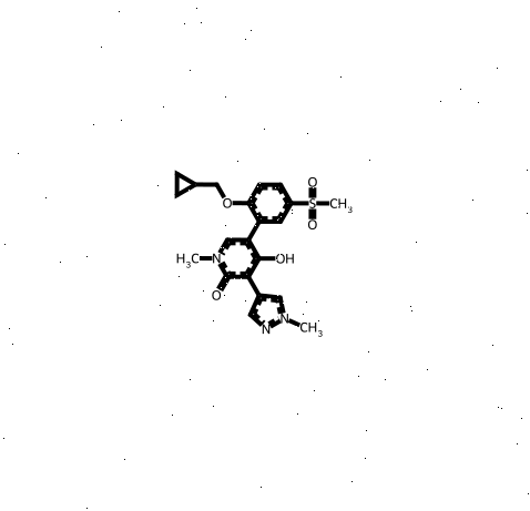 Cn1cc(-c2c(O)c(-c3cc(S(C)(=O)=O)ccc3OCC3CC3)cn(C)c2=O)cn1